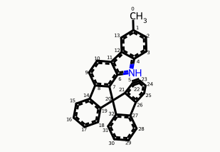 Cc1ccc2[nH]c3c4c(ccc3c2c1)-c1ccccc1C41c2c#cccc2-c2ccccc21